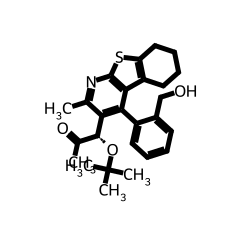 CC(=O)[C@@H](OC(C)(C)C)c1c(C)nc2sc3c(c2c1-c1ccccc1CO)CCCC3